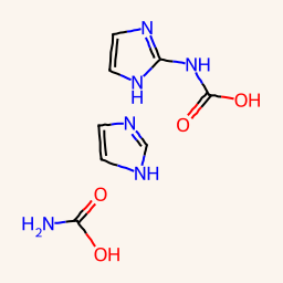 NC(=O)O.O=C(O)Nc1ncc[nH]1.c1c[nH]cn1